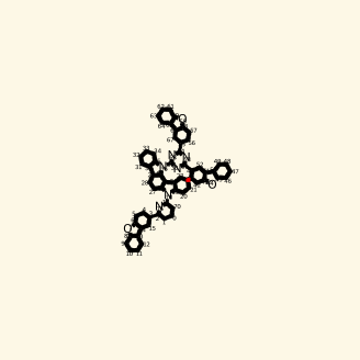 c1cc(-c2ccc3oc4ccccc4c3c2)nc(-n2c3ccccc3c3c2ccc2c4ccccc4n(-c4nc(-c5ccc6oc7ccccc7c6c5)nc(-c5ccc6oc7ccccc7c6c5)n4)c23)c1